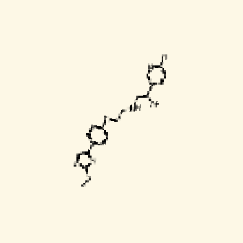 CCc1nc(-c2ccc(OCCNC[C@H](O)c3ccc(Cl)nc3)cc2)co1